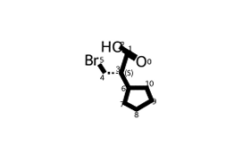 O=C(O)[C@@H](CBr)C1CCCC1